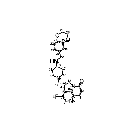 O=c1ccc2ncc(F)c3c2n1C[C@H]3CN1CCC(NCc2ccc3c(c2)OCCO3)CC1